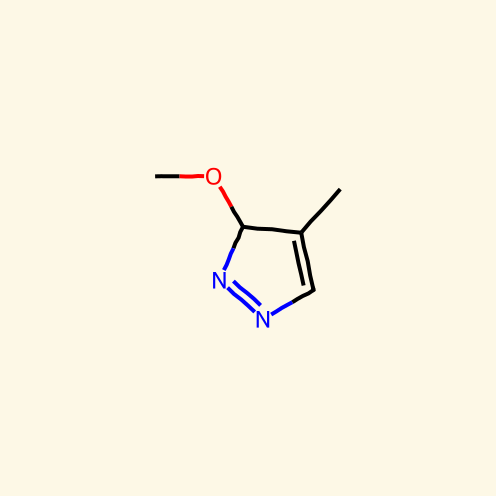 COC1N=NC=C1C